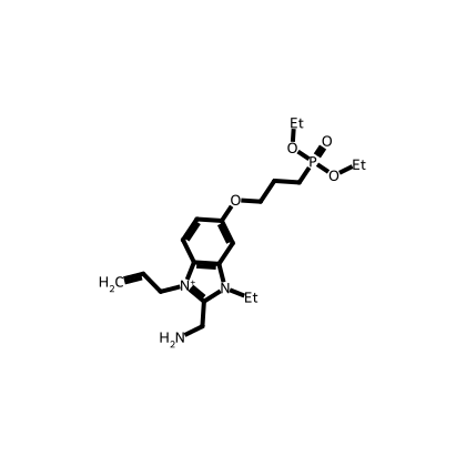 C=CC[n+]1c(CN)n(CC)c2cc(OCCCP(=O)(OCC)OCC)ccc21